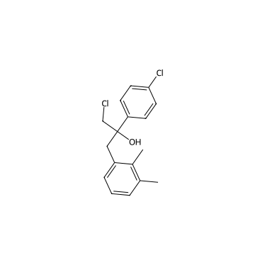 Cc1cccc(CC(O)(CCl)c2ccc(Cl)cc2)c1C